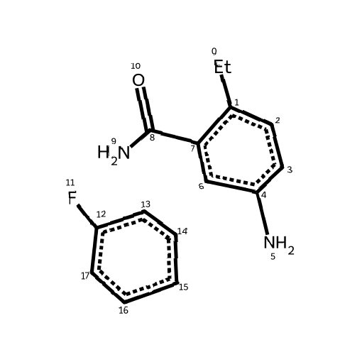 CCc1ccc(N)cc1C(N)=O.Fc1ccccc1